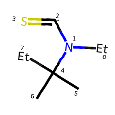 CCN([C]=S)C(C)(C)CC